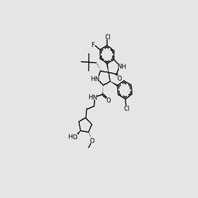 CO[C@H]1CC(CCNC(=O)[C@@H]2N[C@H](CC(C)(C)C)[C@]3(C(=O)Nc4cc(Cl)c(F)cc43)[C@H]2c2cccc(Cl)c2)C[C@@H]1O